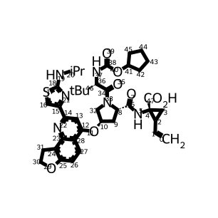 C=CC1C[C@]1(NC(=O)[C@@H]1C[C@@H](Oc2cc(-c3csc(NC(C)C)n3)nc3c4c(ccc23)OCC4)CN1C(=O)[C@@H](NC(=O)OC1CCCC1)C(C)(C)C)C(=O)O